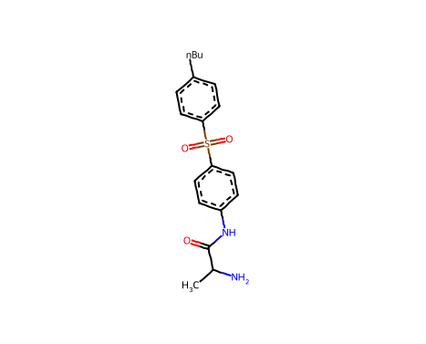 CCCCc1ccc(S(=O)(=O)c2ccc(NC(=O)C(C)N)cc2)cc1